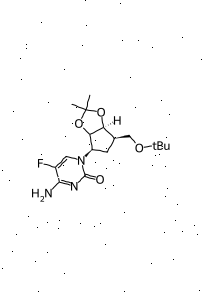 CC(C)(C)OC[C@H]1C[C@@H](n2cc(F)c(N)nc2=O)C2OC(C)(C)O[C@H]21